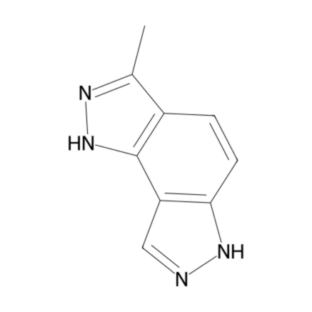 Cc1n[nH]c2c1ccc1[nH]ncc12